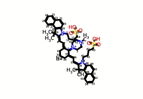 CN1CC[N+](=C2C(=CC=C3N(CCCCS(=O)(=O)O)c4ccc5ccccc5c4C3(C)C)CCCC2=CC=C2N(CCCCS(=O)(=O)O)c3ccc4ccccc4c3C2(C)C)CC1.[Na+]